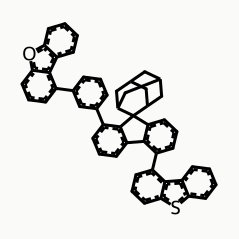 c1cc(-c2cccc3c2C2(c4cccc(-c5cccc6sc7ccccc7c56)c4-3)C3CC4CC(C3)CC2C4)cc(-c2cccc3oc4ccccc4c23)c1